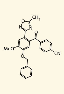 COc1cc(-c2noc(C)n2)c(C(=O)c2ccc(C#N)cc2)cc1OCc1ccccc1